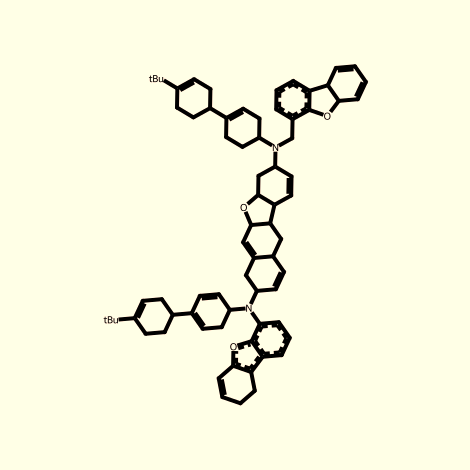 CC(C)(C)C1=CCC(C2=CCC(N(c3cccc4c5c(oc34)C=CCC5)C3C=CC4CC5C(C=C4C3)OC3CC(N(Cc4cccc6c4OC4C=CC=CC64)C4CC=C(C6CC=C(C(C)(C)C)CC6)CC4)C=CC35)C=C2)CC1